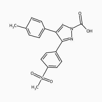 Cc1ccc(-c2[c]n(C(=O)O)nc2-c2ccc(S(C)(=O)=O)cc2)cc1